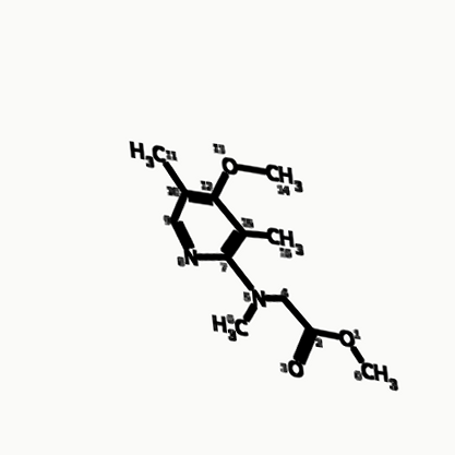 COC(=O)CN(C)c1ncc(C)c(OC)c1C